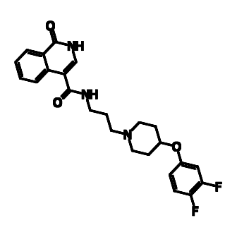 O=C(NCCCN1CCC(Oc2ccc(F)c(F)c2)CC1)c1c[nH]c(=O)c2ccccc12